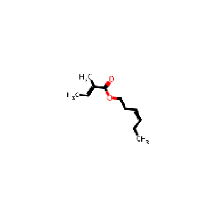 CC=C(C)C(=O)OCC/C=C\CC